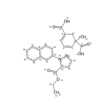 CC1(C(=O)O)C=CC=C(C(=O)O)C1.CCOC(=O)c1ccnn1-c1ccc2ccccc2c1